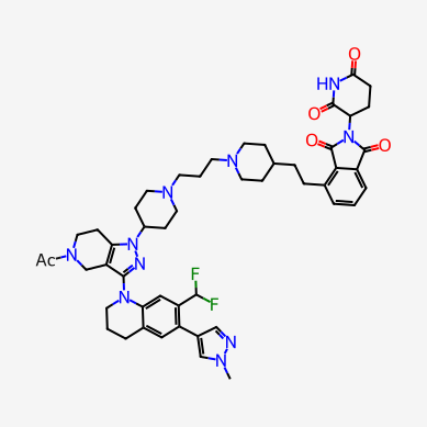 CC(=O)N1CCc2c(c(N3CCCc4cc(-c5cnn(C)c5)c(C(F)F)cc43)nn2C2CCN(CCCN3CCC(CCc4cccc5c4C(=O)N(C4CCC(=O)NC4=O)C5=O)CC3)CC2)C1